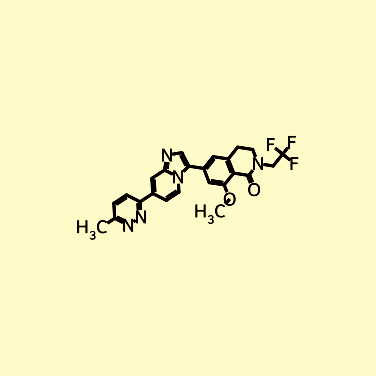 COc1cc(-c2cnc3cc(-c4ccc(C)nn4)ccn23)cc2c1C(=O)N(CC(F)(F)F)CC2